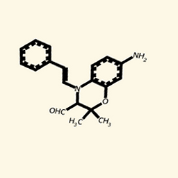 CC1(C)Oc2cc(N)ccc2N(C=Cc2ccccc2)C1C=O